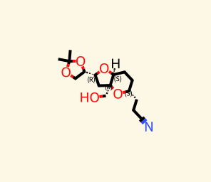 CC1(C)OCC([C@H]2C[C@]3(CO)O[C@@H](CCC#N)CC[C@@H]3O2)O1